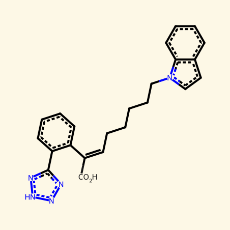 O=C(O)C(=CCCCCCn1ccc2ccccc21)c1ccccc1-c1nn[nH]n1